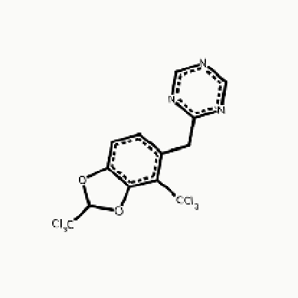 ClC(Cl)(Cl)c1c(Cc2ncncn2)ccc2c1OC(C(Cl)(Cl)Cl)O2